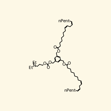 CCCCC/C=C\C/C=C\CCCCCCCC(=O)OCc1cc(COC(=O)CCCCCCC/C=C\C/C=C\CCCCC)cc(COC(=O)OCCCN(CC)CC)c1